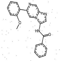 COc1ccccc1-c1cn2c(NC(=O)c3ccccc3)cnc2cn1